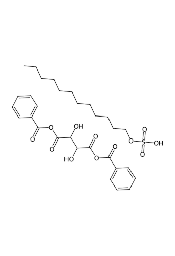 CCCCCCCCCCCCOS(=O)(=O)O.O=C(OC(=O)C(O)C(O)C(=O)OC(=O)c1ccccc1)c1ccccc1